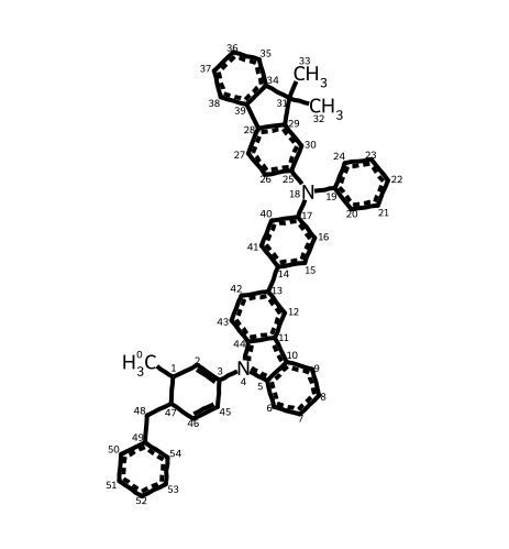 CC1C=C(n2c3ccccc3c3cc(-c4ccc(N(c5ccccc5)c5ccc6c(c5)C(C)(C)c5ccccc5-6)cc4)ccc32)C=CC1Cc1ccccc1